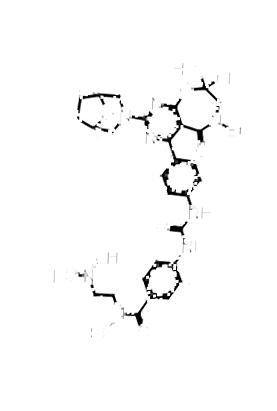 CCN1CC(C)(C)Oc2nc(N3CC4CCC(C3)O4)nc(-c3ccc(NC(=O)Nc4ccc(C(=O)N(C)CCN(C)C)cc4)cc3)c2C1=O